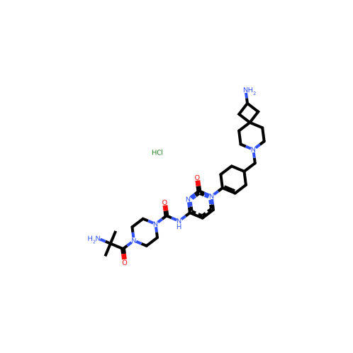 CC(C)(N)C(=O)N1CCN(C(=O)Nc2ccn(C3=CCC(CN4CCC5(CC4)CC(N)C5)CC3)c(=O)n2)CC1.Cl